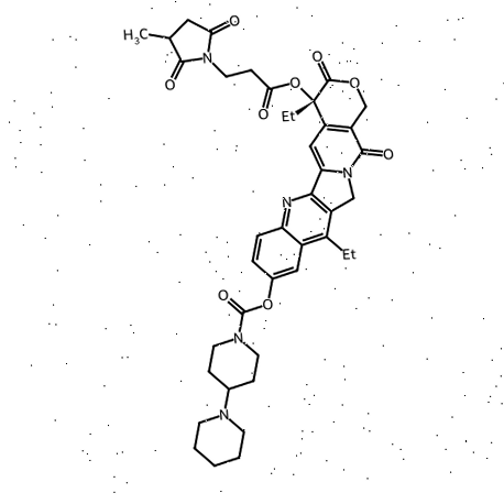 CCc1c2c(nc3ccc(OC(=O)N4CCC(N5CCCCC5)CC4)cc13)-c1cc3c(c(=O)n1C2)COC(=O)[C@@]3(CC)OC(=O)CCN1C(=O)CC(C)C1=O